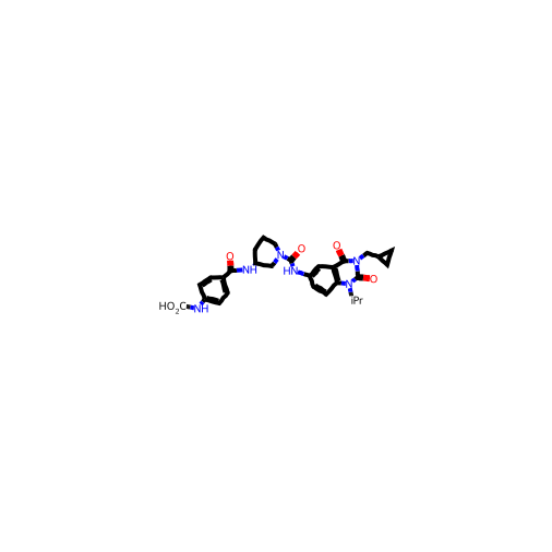 CC(C)n1c(=O)n(CC2CC2)c(=O)c2cc(NC(=O)N3CCC[C@@H](NC(=O)c4ccc(NC(=O)O)cc4)C3)ccc21